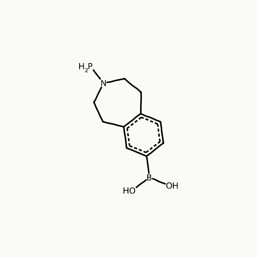 OB(O)c1ccc2c(c1)CCN(P)CC2